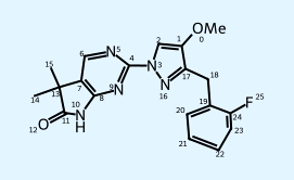 COc1cn(-c2ncc3c(n2)NC(=O)C3(C)C)nc1Cc1ccccc1F